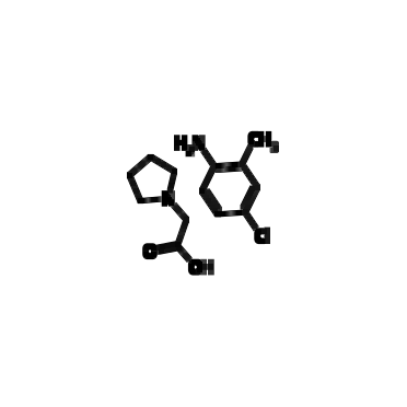 Cc1cc(Cl)ccc1N.O=C(O)CN1CCCC1